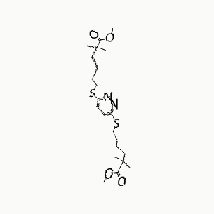 COC(=O)C(C)(C)CCCCSc1ccc(SCCCCC(C)(C)C(=O)OC)nn1